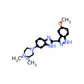 COc1ccc2[nH]nc(-c3nc4ccc(N5CCN(C)[C@@H](C)C5)cc4[nH]3)c2c1